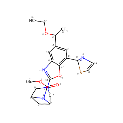 CC(C)(C)OC(=O)N1C2CC1CN(c1nc3cc(C(OCC#N)C(F)(F)F)cc(-c4nccs4)c3o1)C2